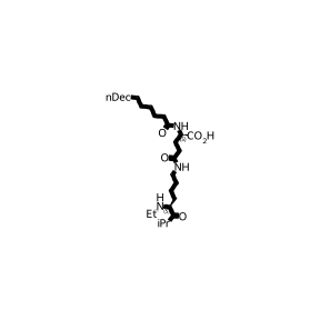 CCCCCCCCCCCCCCCC(=O)N[C@@H](CCC(=O)NCCCC[C@H](NCC)C(=O)C(C)C)C(=O)O